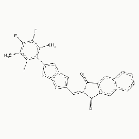 Cc1c(F)c(F)c(C)c(-c2cc3sc(C=C4C(=O)c5cc6ccccc6cc5C4=O)cc3s2)c1F